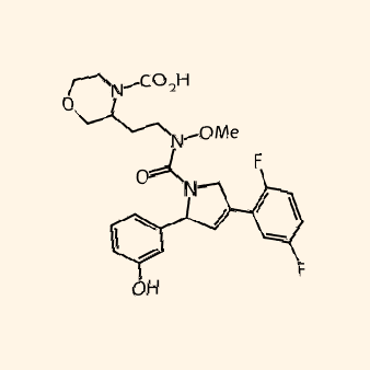 CON(CCC1COCCN1C(=O)O)C(=O)N1CC(c2cc(F)ccc2F)=CC1c1cccc(O)c1